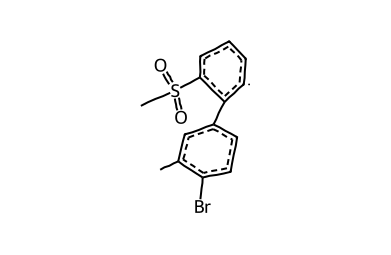 Cc1cc(-c2[c]cccc2S(C)(=O)=O)ccc1Br